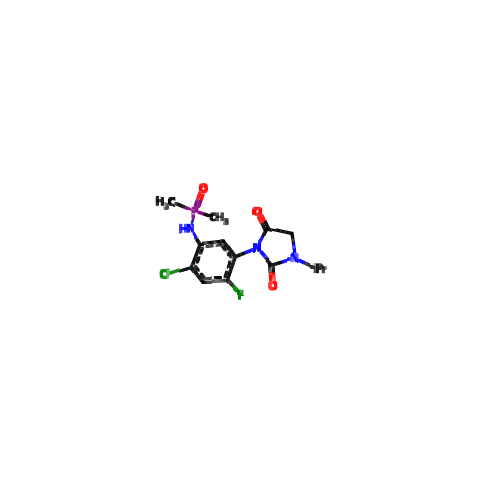 CC(C)N1CC(=O)N(c2cc(NP(C)(C)=O)c(Cl)cc2F)C1=O